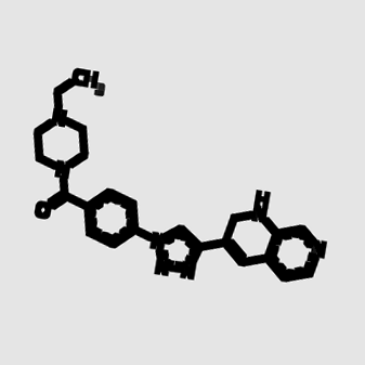 CCN1CCN(C(=O)c2ccc(-n3cc(C4=Cc5ccncc5NC4)nn3)cc2)CC1